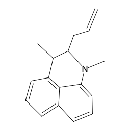 C=CCC1C(C)c2cccc3cccc(c23)N1C